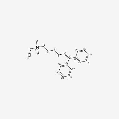 C[N+](C)(CCl)CCCCC=C(c1ccccc1)c1ccccc1